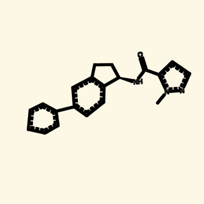 Cn1nccc1C(=O)N[C@@H]1CCc2cc(-c3ccccc3)ccc21